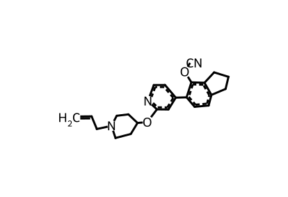 C=CCN1CCC(Oc2cc(-c3ccc4c(c3OC#N)CCC4)ccn2)CC1